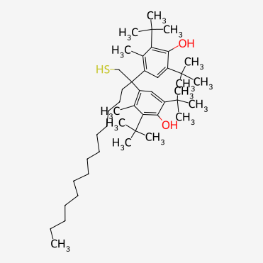 CCCCCCCCCCCCCCC(CS)(c1cc(C(C)(C)C)c(O)c(C(C)(C)C)c1C)c1cc(C(C)(C)C)c(O)c(C(C)(C)C)c1C